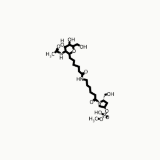 COP(=O)(O)O[C@@H]1C[C@@H](CO)N(C(=O)CCCCCNC(=O)CCCCCC2OC(CO)C(O)C(O)C2NC(C)=O)C1